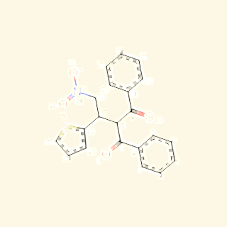 O=C(c1ccccc1)C(C(=O)c1ccccc1)C(C[N+](=O)[O-])c1cccs1